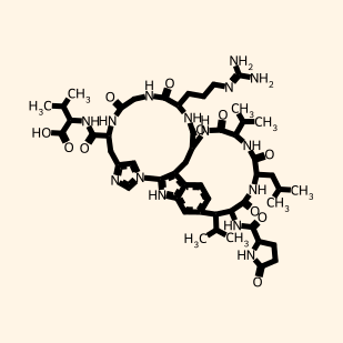 CC(C)CC1NC(=O)C(NC(=O)C2CCC(=O)N2)C(C(C)C)c2ccc3c4c([nH]c3c2)-n2cnc(c2)CC(C(=O)NC(C(=O)O)C(C)C)NC(=O)CNC(=O)C(CCCN=C(N)N)NC(=O)C(C4)NC(=O)C(C(C)C)NC1=O